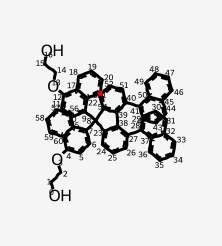 OCCOc1ccc(C2(c3ccc(OCCO)c4ccccc34)c3cccc(-c4cccc5ccccc45)c3-c3c(-c4cccc5ccccc45)cccc32)c2ccccc12